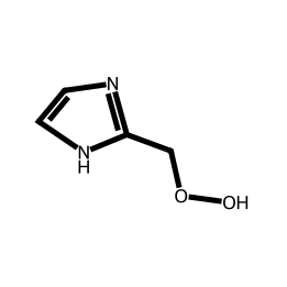 OOCc1ncc[nH]1